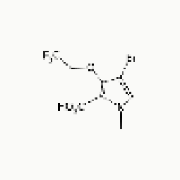 Cn1cc(Br)c(OCC(F)(F)F)c1C(=O)O